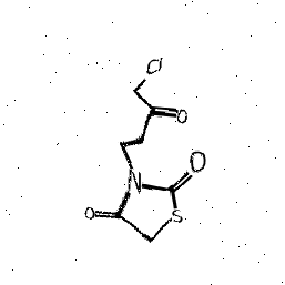 O=C(CCl)CN1C(=O)CSC1=O